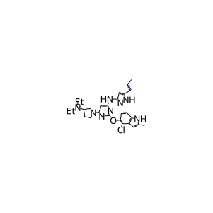 C/C=C/c1cc(Nc2cc(N3CCC(N(CC)CC)C3)nc(Oc3ccc4[nH]c(C)cc4c3Cl)n2)n[nH]1